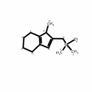 CC[Si](C)(C)CC1=[C]C2=C(CCCC2)C1C